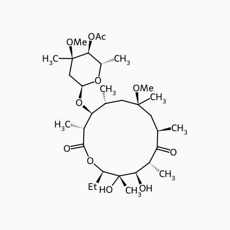 CC[C@H]1OC(=O)[C@H](C)[C@@H](O[C@H]2C[C@@](C)(OC)[C@@H](OC(C)=O)[C@H](C)O2)[C@H](C)C[C@@](C)(OC)C[C@@H](C)C(=O)[C@H](C)[C@@H](O)[C@]1(C)O